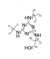 CC(C)(C)Nc1nc(NC(C)(C)C)nc(NC(C)(C)CO)n1